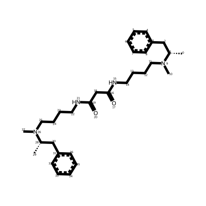 C[C@@H](Cc1ccccc1)N(C)CCCCNC(=O)CC(=O)NCCCCN(C)[C@@H](C)Cc1ccccc1